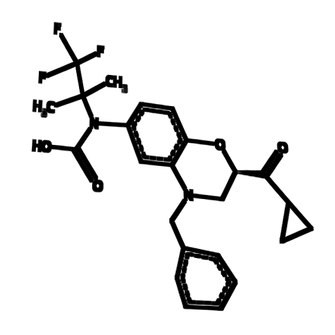 CC(C)(N(C(=O)O)c1ccc2c(c1)N(Cc1ccccc1)C[C@H](C(=O)C1CC1)O2)C(F)(F)F